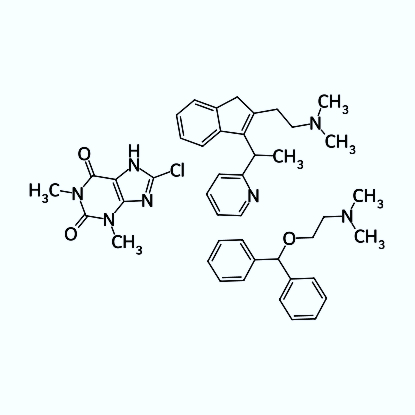 CC(C1=C(CCN(C)C)Cc2ccccc21)c1ccccn1.CN(C)CCOC(c1ccccc1)c1ccccc1.Cn1c(=O)c2[nH]c(Cl)nc2n(C)c1=O